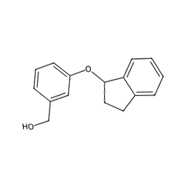 OCc1cccc(OC2CCc3ccccc32)c1